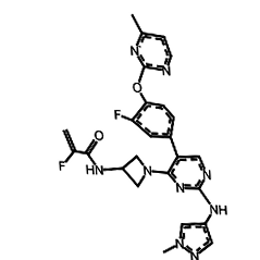 C=C(F)C(=O)NC1CN(c2nc(Nc3cnn(C)c3)ncc2-c2ccc(Oc3nccc(C)n3)c(F)c2)C1